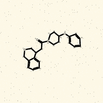 O=C(CC1COCc2ccccc21)N1CCC(Oc2ccccc2)CC1